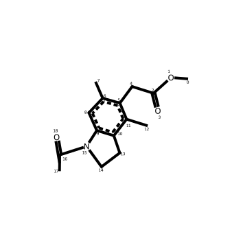 COC(=O)Cc1c(C)cc2c(c1C)CCN2C(C)=O